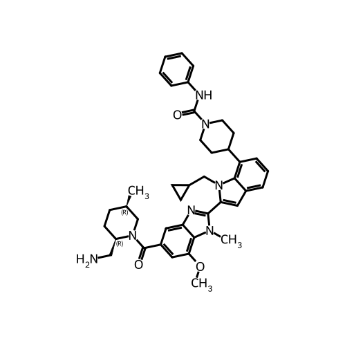 COc1cc(C(=O)N2C[C@H](C)CC[C@@H]2CN)cc2nc(-c3cc4cccc(C5CCN(C(=O)Nc6ccccc6)CC5)c4n3CC3CC3)n(C)c12